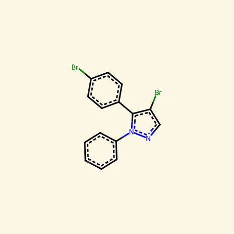 Brc1ccc(-c2c(Br)cnn2-c2ccccc2)cc1